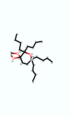 CCCCC1(CCCC)[O][Sn]([CH2]CCC)([CH2]CCC)[CH2]CC1(OC)OC